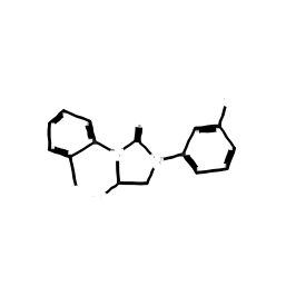 CCC1CN(c2cccc(C(F)(F)F)c2)C(=O)N1c1ccccc1C